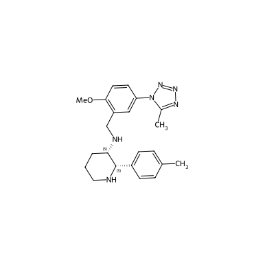 COc1ccc(-n2nnnc2C)cc1CN[C@H]1CCCN[C@H]1c1ccc(C)cc1